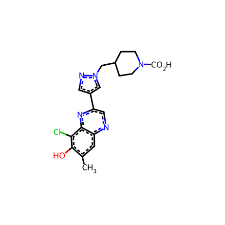 Cc1cc2ncc(-c3cnn(CC4CCN(C(=O)O)CC4)c3)nc2c(Cl)c1O